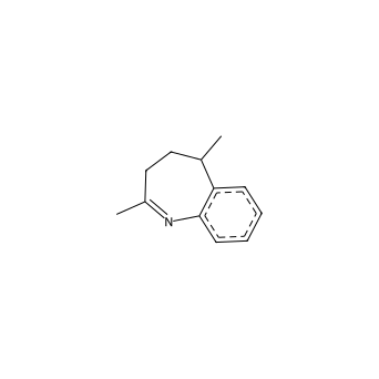 CC1=Nc2ccccc2C(C)CC1